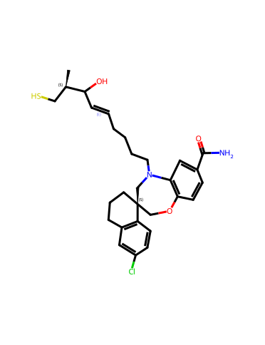 C[C@H](CS)C(O)/C=C/CCCCN1C[C@@]2(CCCc3cc(Cl)ccc32)COc2ccc(C(N)=O)cc21